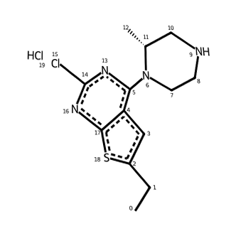 CCc1cc2c(N3CCNC[C@H]3C)nc(Cl)nc2s1.Cl